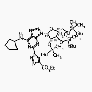 CCOC(=O)c1cn(-c2nc(NC3CCCC3)c3ncn([C@@H]4O[C@H](CO[Si](C)(C)C(C)(C)C)[C@@H](O[Si](C)(C)C(C)(C)C)[C@@H]4O[Si](C)(C)C(C)(C)C)c3n2)nn1